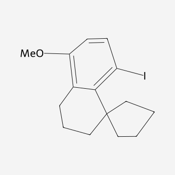 COc1ccc(I)c2c1CCCC21CCCC1